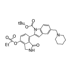 CCS(=O)(=O)Oc1ccc(-c2cc3cc(CN4CCCCC4)ccc3n2C(=O)OC(C)(C)C)c2c1CNC2=O